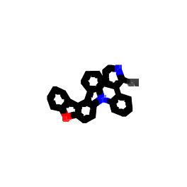 N#Cc1ncccc1-c1ccccc1-n1c2ccccc2c2c3c(ccc21)oc1ccccc13